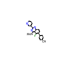 CNc1nc(-c2cccnc2)nc2ccc(-c3ccc(C#N)cc3)c(F)c12